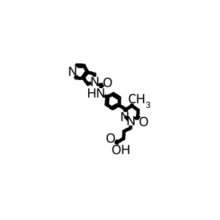 CC1CC(=O)N(CCCC(=O)O)N=C1c1ccc(NC(=O)N2Cc3ccncc3C2)cc1